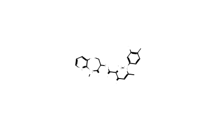 Cc1ccc(-n2nc(C(=O)NC3COc4cccnc4N(C)C3=O)c(=O)cc2C)cc1F